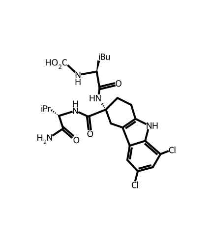 CCC(C)[C@H](NC(=O)O)C(=O)N[C@]1(C(=O)N[C@H](C(N)=O)C(C)C)CCc2[nH]c3c(Cl)cc(Cl)cc3c2C1